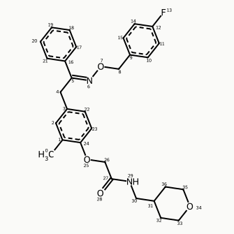 Cc1cc(CC(=NOCc2ccc(F)cc2)c2ccccc2)ccc1OCC(=O)NCC1CCOCC1